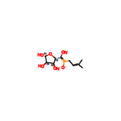 CC(C)=CC[P+]([O-])=C(O)[C@H]1O[C@@H](O)[C@H](O)[C@@H]1O